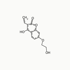 C=Cc1c(O)c2ccc(OCCO)cc2oc1=O